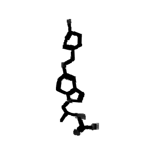 CC(Cn1ccc2cc(OCc3ccc(F)cc3)ccc21)NC(=O)O